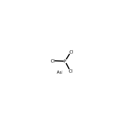 ClP(Cl)Cl.[As]